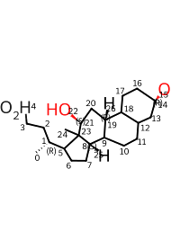 C[C@H](CCC(=O)O)C1CC[C@H]2C3CCC4C[C@H](O)CCC4[C@H]3C[C@H](O)C12C